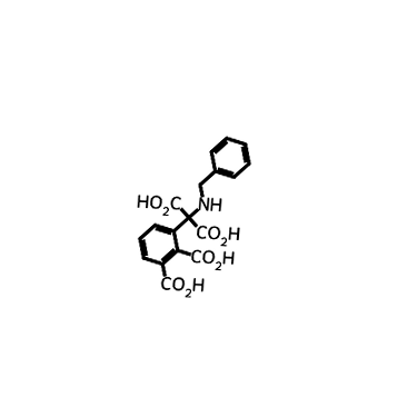 O=C(O)c1cccc(C(NCc2ccccc2)(C(=O)O)C(=O)O)c1C(=O)O